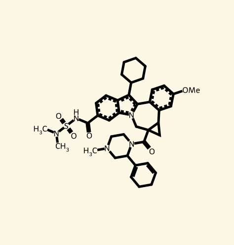 COc1ccc2c(c1)C1CC1(C(=O)N1CCN(C)CC1C1=CCCC=C1)Cn1c-2c(C2CCCCC2)c2ccc(C(=O)NS(=O)(=O)N(C)C)cc21